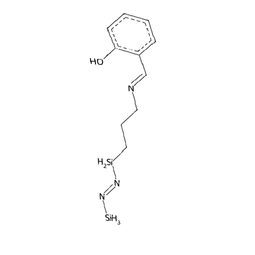 Oc1ccccc1C=NCCC[SiH2]N=N[SiH3]